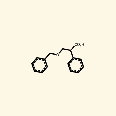 O=C(O)[C@H](COCc1ccccc1)c1ccccc1